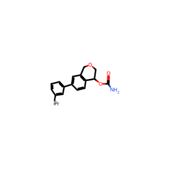 CC(C)c1cccc(-c2ccc3c(c2)COCC3OC(N)=O)c1